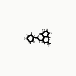 FC(F)CC(CCC1CCCCC1)C1CCCCC1